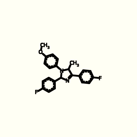 COc1ccc(N2C(C)C(c3ccc(F)cc3)=NC2c2ccc(F)cc2)cc1